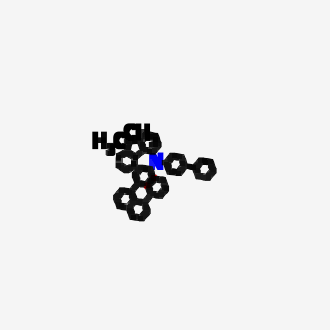 CC1(C)c2ccccc2-c2c(N(c3ccc(-c4ccccc4)cc3)c3ccc(-c4cccc5cccc(-c6ccccc6)c45)cc3)cccc21